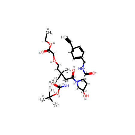 C#Cc1ccc(CNC(=O)[C@@H]2C[C@@H](O)CN2C(=O)[C@H](NC(=O)OC(C)(C)C)C(C)(C)CCOCC(=O)OCC)cc1